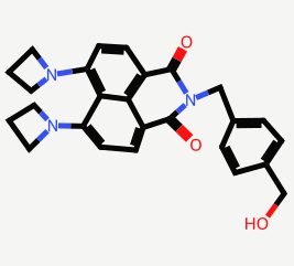 O=C1c2ccc(N3CCC3)c3c(N4CCC4)ccc(c23)C(=O)N1Cc1ccc(CO)cc1